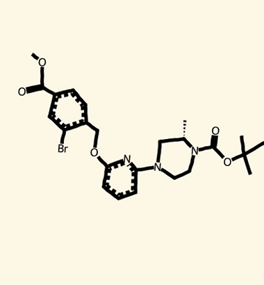 COC(=O)c1ccc(COc2cccc(N3CCN(C(=O)OC(C)(C)C)[C@@H](C)C3)n2)c(Br)c1